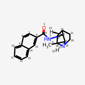 C[C@H]1[C@H](NC(=O)c2ccc3ccccc3c2)C2CCN1CC2